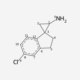 NC1CC12CCc1cc(Cl)ccc12